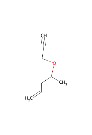 C#CCOC(C)CC=C